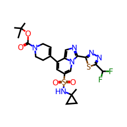 CC1(NS(=O)(=O)c2cc(C3=CCN(C(=O)OC(C)(C)C)CC3)c3cnc(-c4nnc(C(F)F)s4)n3c2)CC1